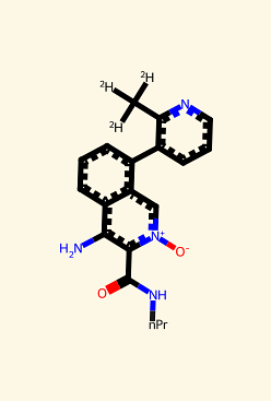 [2H]C([2H])([2H])c1ncccc1-c1cccc2c(N)c(C(=O)NCCC)[n+]([O-])cc12